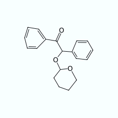 O=C(c1ccccc1)C(OC1CCCCO1)c1ccccc1